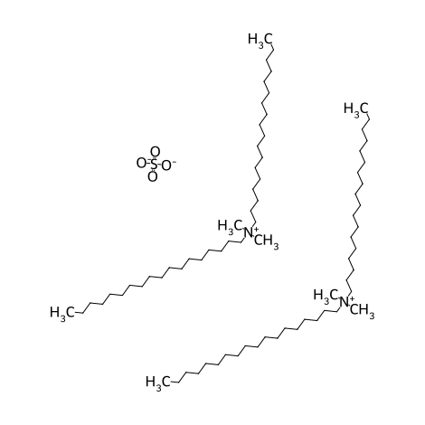 CCCCCCCCCCCCCCCCCC[N+](C)(C)CCCCCCCCCCCCCCCCCC.CCCCCCCCCCCCCCCCCC[N+](C)(C)CCCCCCCCCCCCCCCCCC.O=S(=O)([O-])[O-]